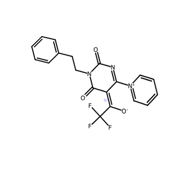 O=C1N=C([n+]2ccccc2)/C(=C(\[O-])C(F)(F)F)C(=O)N1CCc1ccccc1